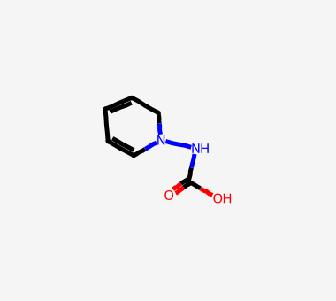 O=C(O)NN1C=CC=CC1